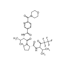 CC(C)C(NC(=O)[C@@H]1CCCN1C(=O)[C@@H](NC(=O)c1ccc(C(=O)N2CCOCC2)nc1)C(C)C)C(=O)C(F)(F)C(F)(F)F